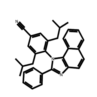 CC(C)Cc1cc(C#N)cc(CC(C)C)c1-n1c(-c2ccccc2)nc2ccc3ccccc3c21